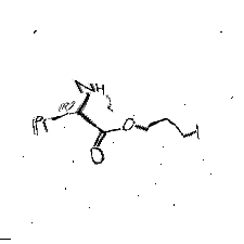 CC(C)[C@@H](N)C(=O)OCCCI